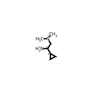 CN(C)CC(N)C1CC1